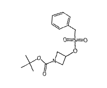 CC(C)(C)OC(=O)N1CC(OS(=O)(=O)Cc2ccccc2)C1